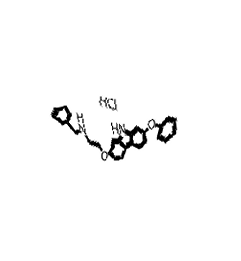 Cl.c1ccc(CNCCOc2ccc3c(c2)[nH]c2cc(Oc4ccccc4)ccc23)cc1